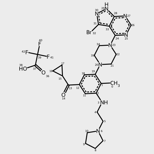 Cc1c(NCCN2CCCC2)cc(C(=O)C2CC2)cc1N1CCN(c2ncnc3[nH]nc(Br)c23)CC1.O=C(O)C(F)(F)F